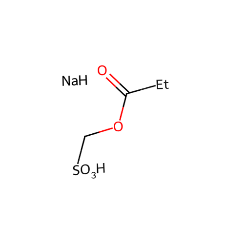 CCC(=O)OCS(=O)(=O)O.[NaH]